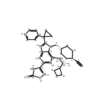 C#C[C@H]1CC[C@H](Cn2c(C3(c4ccncc4)CC3)nc3nc(-c4noc(=O)[nH]4)nc(N[C@H](C)C4CCC4)c32)CC1